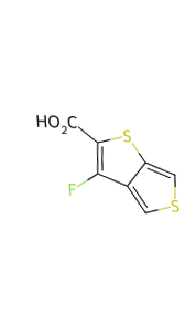 O=C(O)c1sc2cscc2c1F